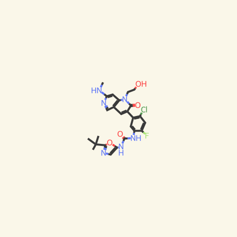 CNc1cc2c(cn1)cc(-c1cc(NC(=O)Nc3cnc(C(C)(C)C)o3)c(F)cc1Cl)c(=O)n2CCO